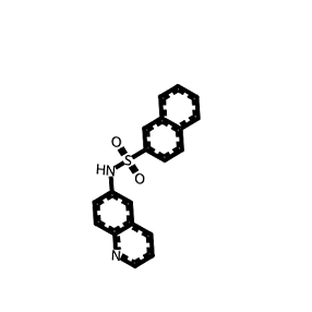 O=S(=O)(Nc1ccc2ncccc2c1)c1ccc2ccccc2c1